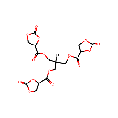 CCC(COC(=O)C1COC(=O)O1)(COC(=O)C1COC(=O)O1)COC(=O)C1COC(=O)O1